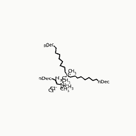 CCCCCCCCCCCCCCCCCC[N+](C)(C)CCCCCCCCCCCCCCCCCC.CCCCCCCCCCCC[N+](C)(C)C.[Cl-].[Cl-]